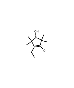 CCC1=[N+]([O-])C(C)(C)N(O)C1(C)C